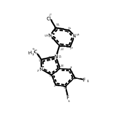 Cc1nc2cc(F)c(F)cc2n1-c1cncc(Cl)n1